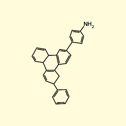 Nc1ccc(-c2ccc3c(c2)C2C=CC=CC2C2=C3CC(c3ccccc3)C=C2)cc1